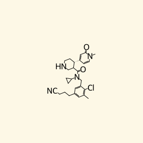 Cc1cc(CCCC#N)cc(CN(C(=O)C2CNCC[C@@H]2c2ccn(C)c(=O)c2)C2CC2)c1Cl